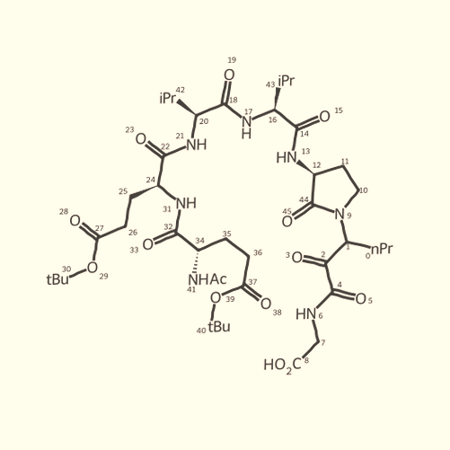 CCCC(C(=O)C(=O)NCC(=O)O)N1CC[C@H](NC(=O)[C@@H](NC(=O)[C@@H](NC(=O)[C@H](CCC(=O)OC(C)(C)C)NC(=O)[C@H](CCC(=O)OC(C)(C)C)NC(C)=O)C(C)C)C(C)C)C1=O